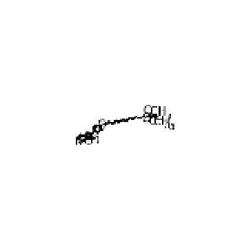 CCC(C)(C)C(=O)OCCCCCCCCCCCCOc1ccc(-c2cc3ccncc3oc2=O)cc1